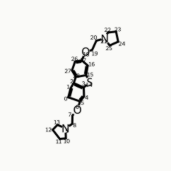 c1cc2c(cc1OCCN1CCCC1)sc1cc(OCCN3CCCC3)ccc12